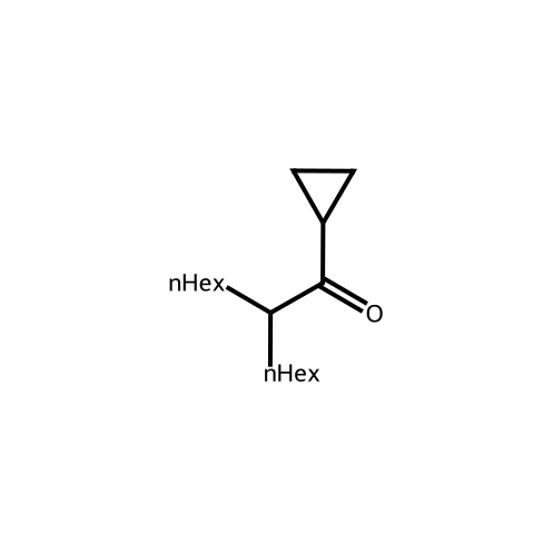 CCCCCCC(CCCCCC)C(=O)C1CC1